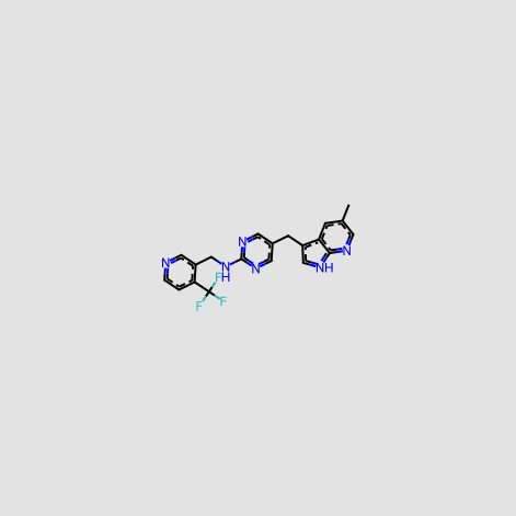 Cc1cnc2[nH]cc(Cc3cnc(NCc4cnccc4C(F)(F)F)nc3)c2c1